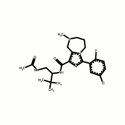 CC(=O)NCC(NC(=O)c1nc(-c2cc(Cl)ccc2F)n2c1CN(C)CCC2)C(C)(C)C